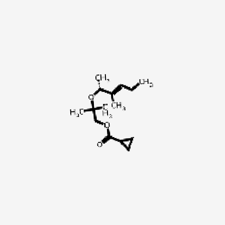 CC/C=C(\C)[C@@H](C)OC(C)(C)COC(=O)C1CC1